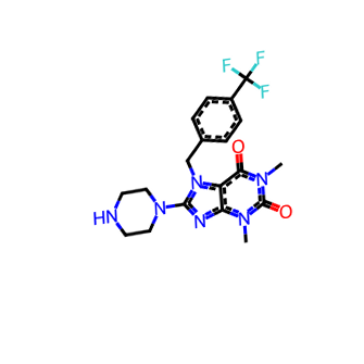 Cn1c(=O)c2c(nc(N3CCNCC3)n2Cc2ccc(C(F)(F)F)cc2)n(C)c1=O